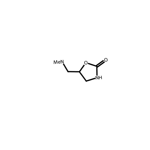 CNCC1CNC(=O)O1